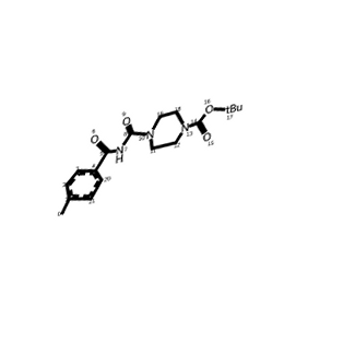 Cc1ccc(C(=O)NC(=O)N2CCN(C(=O)OC(C)(C)C)CC2)cc1